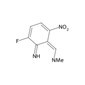 CN/C=C1\C(=N)C(F)=CC=C1[N+](=O)[O-]